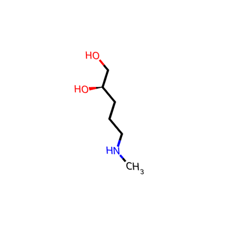 CNCCC[C@@H](O)CO